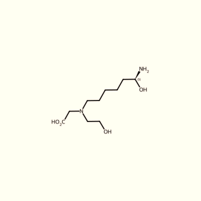 N[C@@H](O)CCCCCN(CCO)CC(=O)O